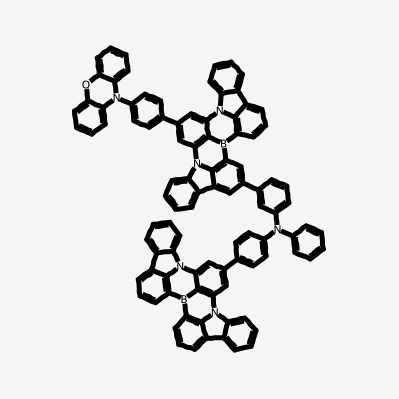 c1ccc(N(c2ccc(-c3cc4c5c(c3)-n3c6ccccc6c6cccc(c63)B5c3cccc5c6ccccc6n-4c35)cc2)c2cccc(-c3cc4c5c(c3)c3ccccc3n5-c3cc(-c5ccc(N6c7ccccc7Oc7ccccc76)cc5)cc5c3B4c3cccc4c6ccccc6n-5c34)c2)cc1